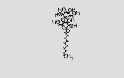 CCCCCCCCCCO[C@@H]1OC(CO)[C@@H](O[C@H]2OC(CO)[C@@H](O)[C@H](O)C2O)[C@H](O)C1O